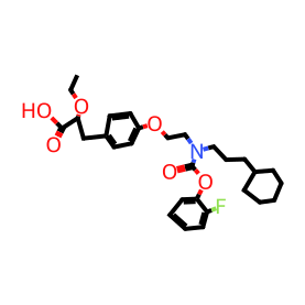 CCOC(Cc1ccc(OCCN(CCCC2CCCCC2)C(=O)Oc2ccccc2F)cc1)C(=O)O